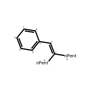 CCCCCC(=Cc1ccccc1)CCCCC